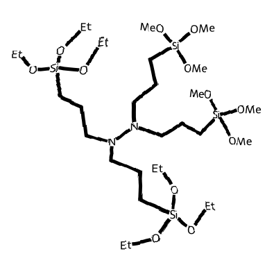 CCO[Si](CCCN(CCC[Si](OCC)(OCC)OCC)N(CCC[Si](OC)(OC)OC)CCC[Si](OC)(OC)OC)(OCC)OCC